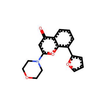 O=c1cc(N2CCOCC2)oc2c(-c3ccco3)cccc12